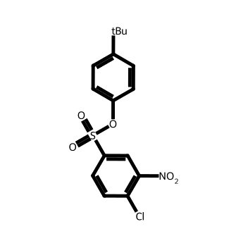 CC(C)(C)c1ccc(OS(=O)(=O)c2ccc(Cl)c([N+](=O)[O-])c2)cc1